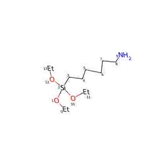 CCO[Si](CCCCCCN)(OCC)OCC